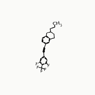 CCCC1CCc2cc(C#Cc3cc(F)c(C(F)(F)F)c(F)c3)ccc2C1